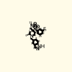 C[C@H]1C[C@]2(CCN1Cc1ccc3[nH]ncc3c1)CN(C)S(=O)(=O)N2c1cccc(F)c1